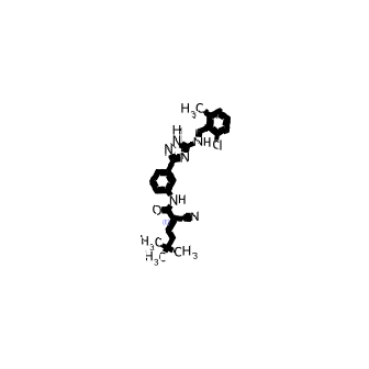 Cc1cccc(Cl)c1CNc1nc(-c2cccc(NC(=O)/C(C#N)=C/CC(C)(C)C)c2)n[nH]1